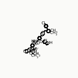 CC1(C)CCC(CN2CCN(c3ccc(C(=O)NS(=O)(=O)c4ccc(OCC5COCCN5C(=O)OC(C)(C)C)c([N+](=O)[O-])c4)c(Oc4cnc5[nH]ccc5c4)c3)CC2)=C(c2ccc(Cl)cc2)C1